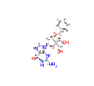 Nc1nc2c(ncn2[C@H]2C[C@H](OCc3ccccc3)C(CO)(CO)O2)c(=O)[nH]1